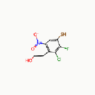 O=[N+]([O-])c1cc(S)c(F)c(Cl)c1CCO